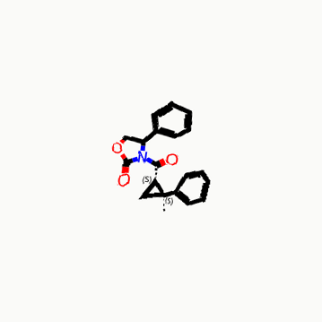 C[C@]1(c2ccccc2)C[C@@H]1C(=O)N1C(=O)OCC1c1ccccc1